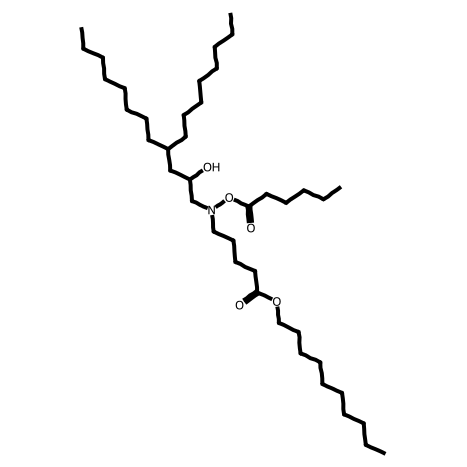 CCCCCCCCCCOC(=O)CCCCN(CC(O)CC(CCCCCCCC)CCCCCCCC)OC(=O)CCCCC